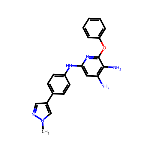 Cn1cc(-c2ccc(Nc3cc(N)c(N)c(Oc4ccccc4)n3)cc2)cn1